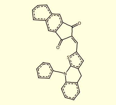 O=C1C(=Cc2cc3c(s2)N(c2ccccc2)c2ccccc2C3)C(=O)c2cc3ccccc3cc21